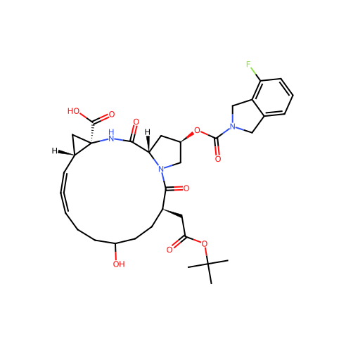 CC(C)(C)OC(=O)C[C@H]1CCC(O)CCC=C=C[C@@H]2C[C@@]2(C(=O)O)NC(=O)[C@@H]2C[C@@H](OC(=O)N3Cc4cccc(F)c4C3)CN2C1=O